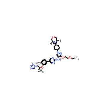 CC(Cn1cnnn1)Oc1cc(-c2cnc(Nc3cn(C4CCC(N5[C@@H]6CC[C@H]5COC6)CC4)nc3OCCOCC(F)(F)F)nc2)ccc1C#N